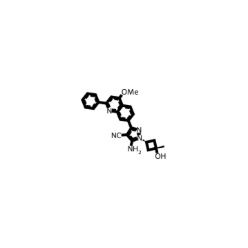 COc1cc(-c2ccccc2)nc2cc(-c3nn([C@H]4C[C@@](C)(O)C4)c(N)c3C#N)ccc12